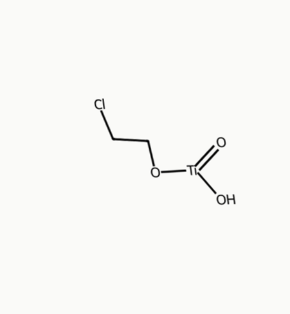 [O]=[Ti]([OH])[O]CCCl